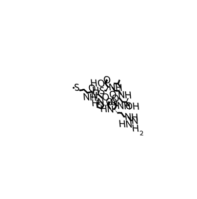 CSCC[C@H](N)C(=O)N[C@@H](C)C(=O)N1CCC[C@H]1C(=O)N[C@@H](CCCNC(=N)N)C(=O)N[C@H](C(=O)N[C@@H](CC(C)C)C(=O)N[C@@H](CS)C(=O)O)[C@@H](C)O